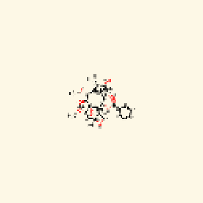 CO[C@H]1C(=O)[C@]2(C)[C@@H](OC)C[C@H]3OC[C@@]3(O)[C@H]2[C@H](OC(=O)c2ccccc2)[C@]2(O)C[C@H](O)C(C)=C1C2(C)C